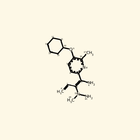 C=C/C(=C(/N)c1ccc(OC2CCCCC2)c(C)n1)N(C)N